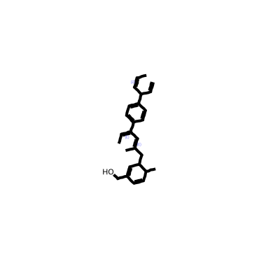 C=CC(/C=C\C)c1ccc(C(/C=C(\C)CC2C=C(CO)C=CC2C)=C/C)cc1